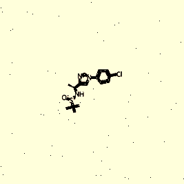 C[C@H](N[S+]([O-])C(C)(C)C)c1cn(-c2ccc(Cl)cc2)cn1